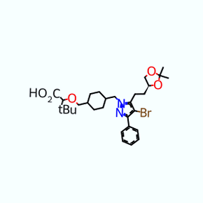 CC1(C)OC[C@H](CCc2c(Br)c(-c3ccccc3)nn2CC2CCC(COC(C(=O)O)C(C)(C)C)CC2)O1